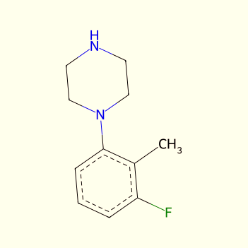 Cc1c(F)cccc1N1CCNCC1